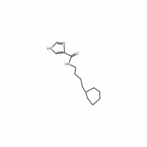 O=C(NCCCCC1CCCCC1)c1c[nH]cn1